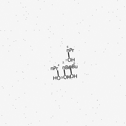 CCCCO.CCCCO.CCCO.CCCO